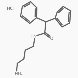 Cl.NCCCCNC(=O)C(c1ccccc1)c1ccccc1